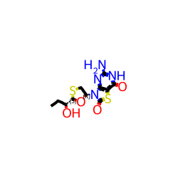 CCC(O)[C@H]1O[C@@H](n2c(=O)sc3c(=O)[nH]c(N)nc32)CS1